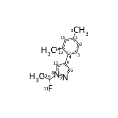 Cc1ccc(-c2cnn(C(C)F)c2)c(C)c1